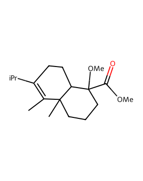 COC(=O)C1(OC)CCCC2(C)C(C)=C(C(C)C)CCC21